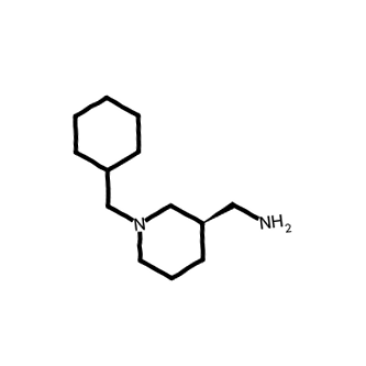 NC[C@H]1CCCN(CC2CCCCC2)C1